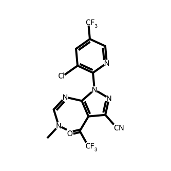 CN(C)/C=N\c1c(C(=O)C(F)(F)F)c(C#N)nn1-c1ncc(C(F)(F)F)cc1Cl